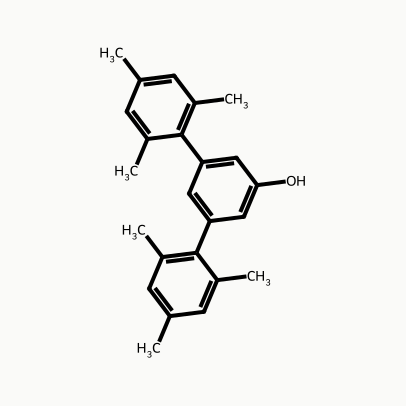 Cc1cc(C)c(-c2cc(O)cc(-c3c(C)cc(C)cc3C)c2)c(C)c1